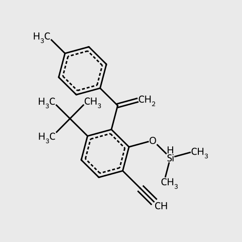 C#Cc1ccc(C(C)(C)C)c(C(=C)c2ccc(C)cc2)c1O[SiH](C)C